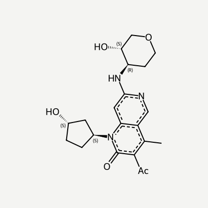 CC(=O)c1c(C)c2cnc(N[C@@H]3CCOC[C@H]3O)cc2n([C@H]2CC[C@H](O)C2)c1=O